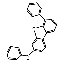 c1ccc(Nc2ccc3c(c2)oc2c(-c4ccccc4)cccc23)cc1